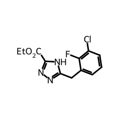 CCOC(=O)c1nnc(Cc2cccc(Cl)c2F)[nH]1